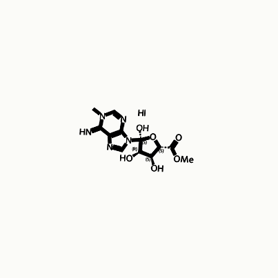 COC(=O)[C@H]1O[C@](O)(n2cnc3c(=N)n(C)cnc32)[C@H](O)[C@@H]1O.I